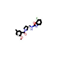 COc1ccc(C)cc1C(=O)N1CC[C@H](CNc2nc3cccc(F)c3o2)C1